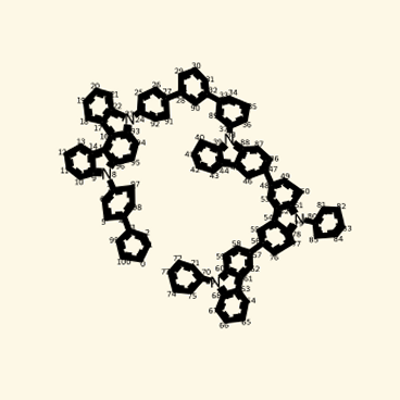 c1ccc(-c2ccc(-n3c4ccccc4c4c5c6ccccc6n(-c6ccc(-c7cccc(-c8cccc(-n9c%10ccccc%10c%10cc(-c%11ccc%12c(c%11)c%11cc(-c%13ccc%14c(c%13)c%13ccccc%13n%14-c%13ccccc%13)ccc%11n%12-c%11ccccc%11)ccc%109)c8)c7)cc6)c5ccc43)cc2)cc1